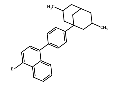 CC1CC2CC(C)CC(c3ccc(-c4ccc(Br)c5ccccc45)cc3)(C1)C2